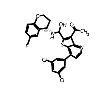 CC(=O)c1c(C(O)N[C@H]2CCOc3ccc(F)cc32)sc2c(-c3cc(Cl)cc(Cl)c3)ccnc12